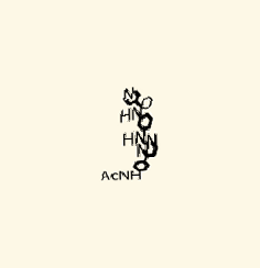 CC(=O)Nc1ccc(-c2ccnc(Nc3cccc(NC(=O)c4ccncc4)c3)n2)cc1